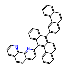 c1ccc2c(c1)ccc1ccc(-c3c4ccccc4c(-c4ccc5ccc6cccnc6c5n4)c4c3ccc3ccccc34)cc12